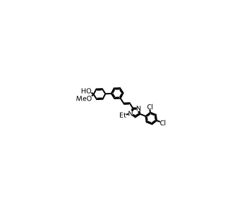 CCn1cc(-c2ccc(Cl)cc2Cl)nc1/C=C/c1cccc(C2C=CC(O)(OC)C=C2)c1